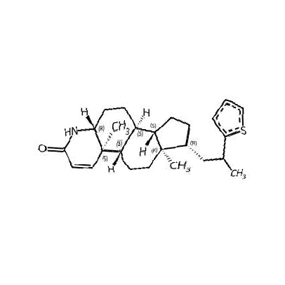 CC(C[C@H]1CC[C@H]2[C@@H]3CC[C@H]4NC(=O)C=C[C@]4(C)[C@H]3CC[C@]12C)c1cccs1